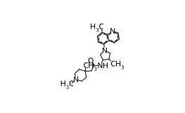 Cc1ccc(N2CC(C)C(NC(=O)CC3(C)CCN(C)CC3)C2)c2cccnc12